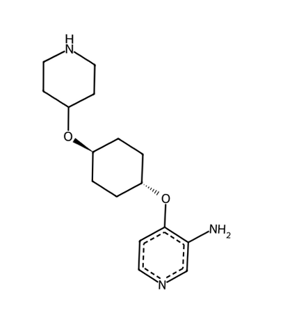 Nc1cnccc1O[C@H]1CC[C@H](OC2CCNCC2)CC1